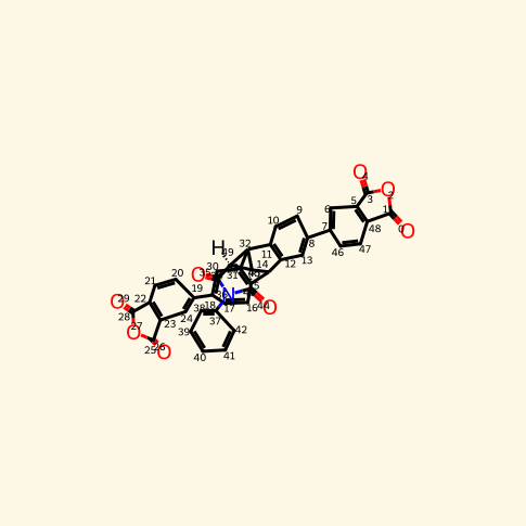 O=C1OC(=O)c2cc(-c3ccc4c(c3)C3c5ccc(-c6ccc7c(c6)C(=O)OC7=O)cc5C45[C@@H]4C(=O)N(c6ccccc6)C(=O)[C@]345)ccc21